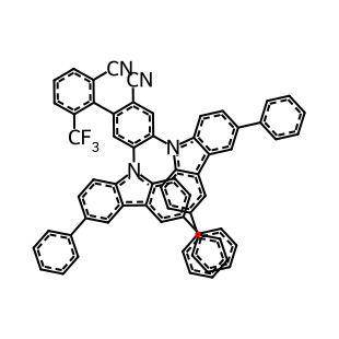 N#Cc1cc(-n2c3ccc(-c4ccccc4)cc3c3cc(-c4ccccc4)ccc32)c(-n2c3ccc(-c4ccccc4)cc3c3cc(-c4ccccc4)ccc32)cc1-c1c(C#N)cccc1C(F)(F)F